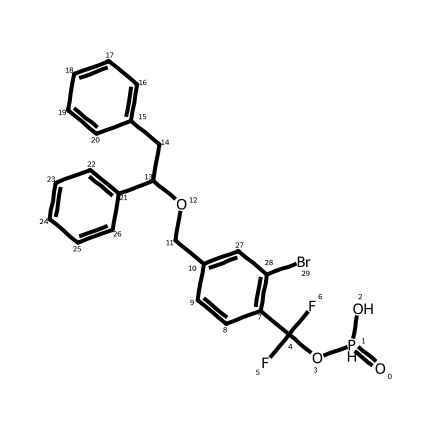 O=[PH](O)OC(F)(F)c1ccc(COC(Cc2ccccc2)c2ccccc2)cc1Br